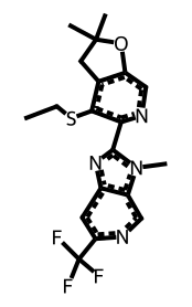 CCSc1c(-c2nc3cc(C(F)(F)F)ncc3n2C)ncc2c1CC(C)(C)O2